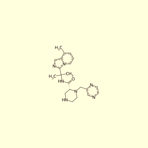 Cc1cccn2c(C(C)(C)NC(=O)[C@H]3CNCCN3Cc3cnccn3)ncc12